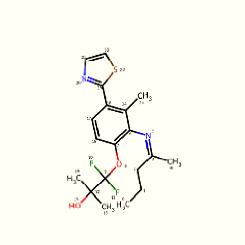 CCC/C(C)=N\c1c(OC(F)(F)C(C)(C)O)ccc(-c2nccs2)c1C